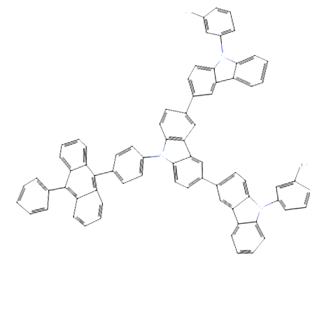 CCC(C)c1cccc(-n2c3ccccc3c3cc(-c4ccc5c(c4)c4cc(-c6ccc7c(c6)c6ccccc6n7-c6cccc(C(C)CC)c6)ccc4n5-c4ccc(-c5c6ccccc6c(-c6ccccc6)c6ccccc56)cc4)ccc32)c1